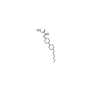 C=C(CO)C(=O)OC1CCC(C2CCC(CCCCCC)CC2)CC1